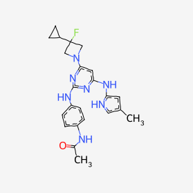 CC(=O)Nc1ccc(Nc2nc(Nc3cc(C)c[nH]3)cc(N3CC(F)(C4CC4)C3)n2)cc1